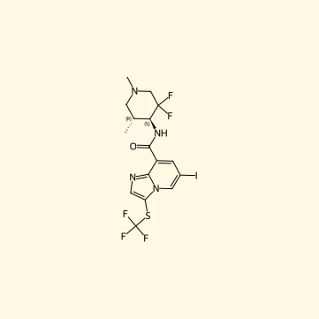 C[C@@H]1CN(C)CC(F)(F)[C@H]1NC(=O)c1cc(I)cn2c(SC(F)(F)F)cnc12